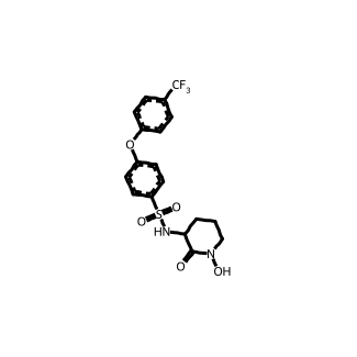 O=C1C(NS(=O)(=O)c2ccc(Oc3ccc(C(F)(F)F)cc3)cc2)CCCN1O